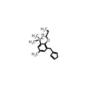 C=CCOc1c(CC2=CCC=C2)cc(C)cc1[Si](C)(C)C